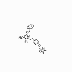 CCc1c(O)cc(OCC2COCCO2)nc1CCc1ccc(OCc2nc(C)no2)cc1